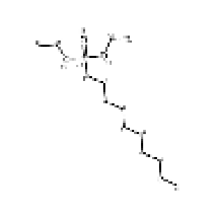 CCCCCCCCCCP(=O)(OCC)OCC